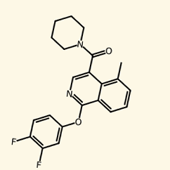 Cc1cccc2c(Oc3ccc(F)c(F)c3)ncc(C(=O)N3CCCCC3)c12